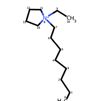 CCCCCCCC[N+]1(CC)CCCC1